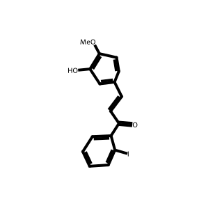 COc1ccc(/C=C/C(=O)c2ccccc2I)cc1O